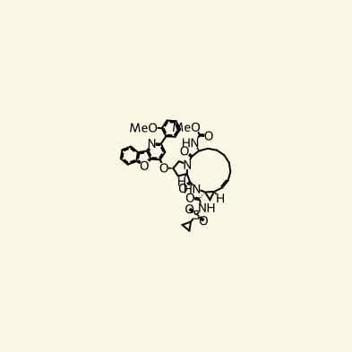 COC(=O)N[C@H]1CCCCC/C=C\[C@@H]2C[C@@]2(C(=O)NS(=O)(=O)C2CC2)NC(=O)[C@@H]2C[C@@H](Oc3cc(-c4ccccc4OC)nc4c3oc3ccccc34)CN2C1=O